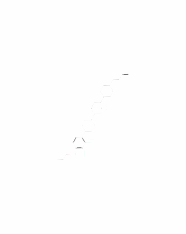 C=CCCC1CCC(C2CCC(C3CCC(c4ccc(OCCC)c(F)c4F)CC3)CO2)CC1